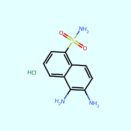 Cl.Nc1ccc2c(S(N)(=O)=O)cccc2c1N